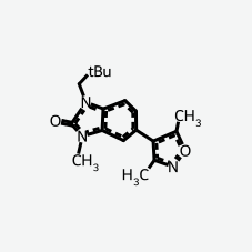 Cc1noc(C)c1-c1ccc2c(c1)n(C)c(=O)n2CC(C)(C)C